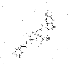 COc1ccc2nccc(CCC[C@@H]3CCN(CCCCc4cncnc4)C[C@@H]3CC(=O)O)c2c1